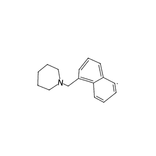 [c]1cccc2c(CN3CCCCC3)cccc12